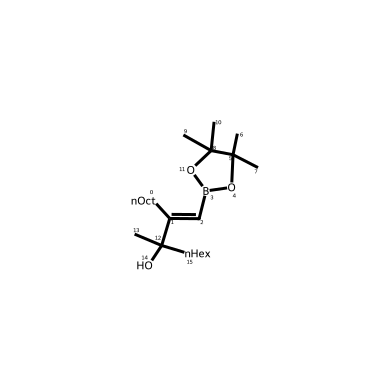 CCCCCCCC/C(=C\B1OC(C)(C)C(C)(C)O1)C(C)(O)CCCCCC